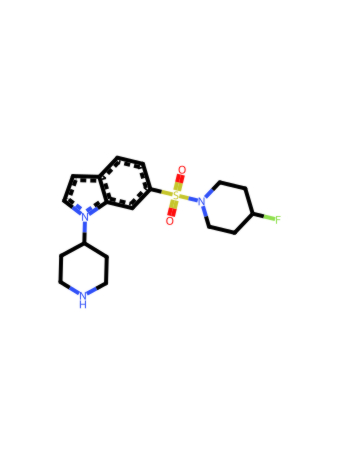 O=S(=O)(c1ccc2ccn(C3CCNCC3)c2c1)N1CCC(F)CC1